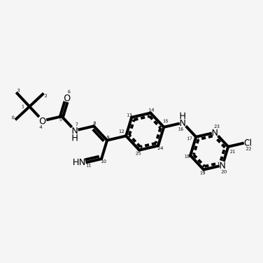 CC(C)(C)OC(=O)N/C=C(\C=N)c1ccc(Nc2ccnc(Cl)n2)cc1